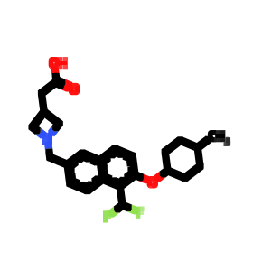 CC1CCC(Oc2ccc3cc(CN4CC(CC(=O)O)C4)ccc3c2C(F)F)CC1